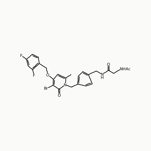 CC(=O)NCC(=O)NCc1ccc(Cn2c(C)cc(OCc3ccc(F)cc3F)c(Br)c2=O)cc1